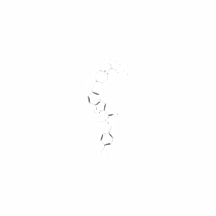 Cc1ccc(CNC(=O)c2cc3cc(OC4CCN(C(C)C)CC4)ccc3[nH]2)cc1